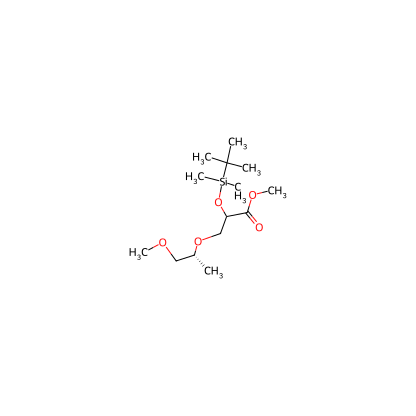 COC[C@@H](C)OCC(O[Si](C)(C)C(C)(C)C)C(=O)OC